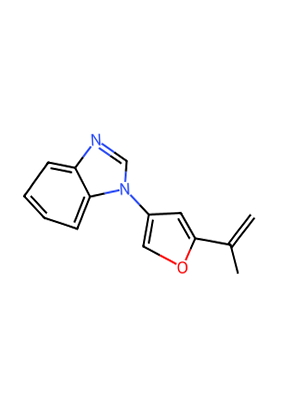 C=C(C)c1cc(-n2cnc3ccccc32)co1